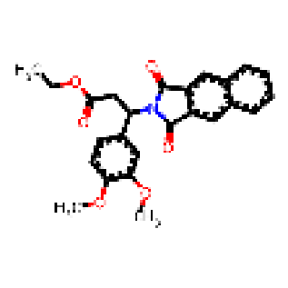 CCOC(=O)CC(c1ccc(OC)c(OC)c1)N1C(=O)c2cc3ccccc3cc2C1=O